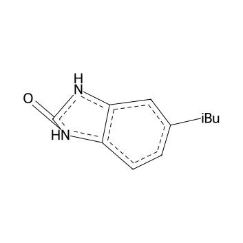 CCC(C)c1ccc2[nH]c(=O)[nH]c2c1